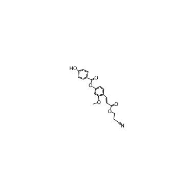 COc1cc(OC(=O)c2ccc(O)cc2)ccc1/C=C/C(=O)OCCC#N